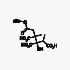 CCCCOC(=O)CC(C)(C(=O)O)C(O)(C(=O)O)C(C)C(=O)O